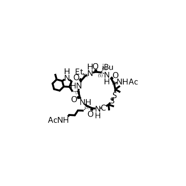 CC[C@@H]1NC(=O)[C@H]([C@@H](C)CC)NC(=O)[C@@H](NC(C)=O)C(C)(C)SSC(C)(C)CNC(=O)[C@H](CCCCNC(C)=O)NC(=O)[C@H](CC2CNC3C(C)CCCC23)NC1=O